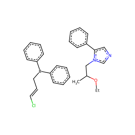 CCOC(C)Cn1cncc1-c1ccccc1.ClC=CCB(c1ccccc1)c1ccccc1